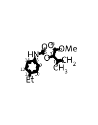 C=C(C)C(OC(=O)Nc1ccc(CC)cc1)C(=O)OC